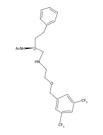 CC(=O)N[C@@H](CCc1ccccc1)CNCCOCc1cc(C(F)(F)F)cc(C(F)(F)F)c1